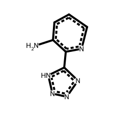 Nc1cccnc1-c1nnn[nH]1